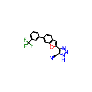 N#Cc1[nH]nnc1-c1cc2ccc(-c3cccc(C(F)(F)F)c3)cc2o1